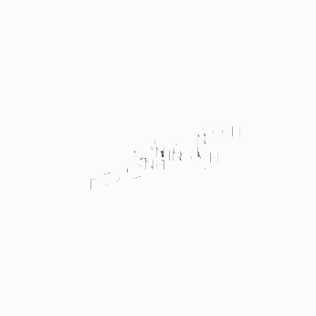 Cn1c(C(=O)NC[C@H](CCCNC(=O)O)NC(=O)O)nc2cc(-c3ccc(F)cc3)ccc21